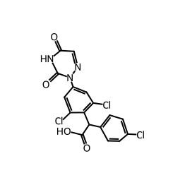 O=C(O)C(c1ccc(Cl)cc1)c1c(Cl)cc(-n2ncc(=O)[nH]c2=O)cc1Cl